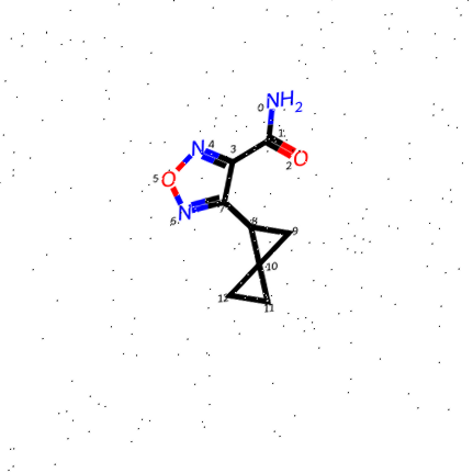 NC(=O)c1nonc1C1CC12CC2